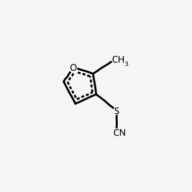 Cc1occc1SC#N